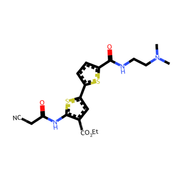 CCOC(=O)c1cc(-c2ccc(C(=O)NCCN(C)C)s2)sc1NC(=O)CC#N